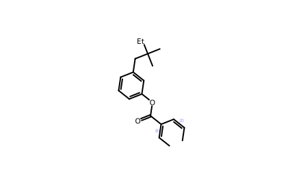 C/C=C\C(=C/C)C(=O)Oc1cccc(CC(C)(C)CC)c1